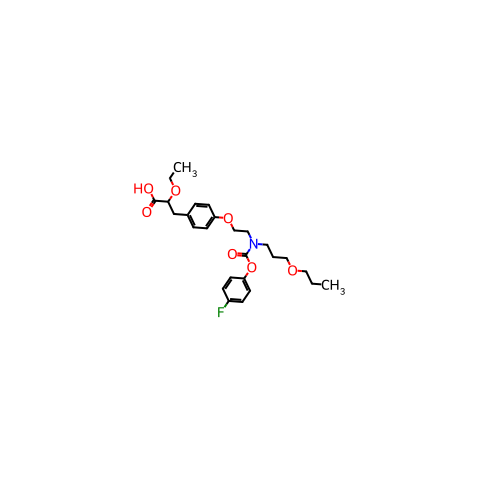 CCCOCCCN(CCOc1ccc(CC(OCC)C(=O)O)cc1)C(=O)Oc1ccc(F)cc1